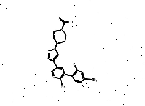 Nc1ccc(-c2cc(-c3cnn(C4CCN(C(=O)O)CC4)c3)cnc2N)c(F)c1